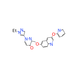 CCn1cc(-n2ccc(=O)c(COc3ccc4ncc(Oc5ccccn5)cc4c3)n2)cn1